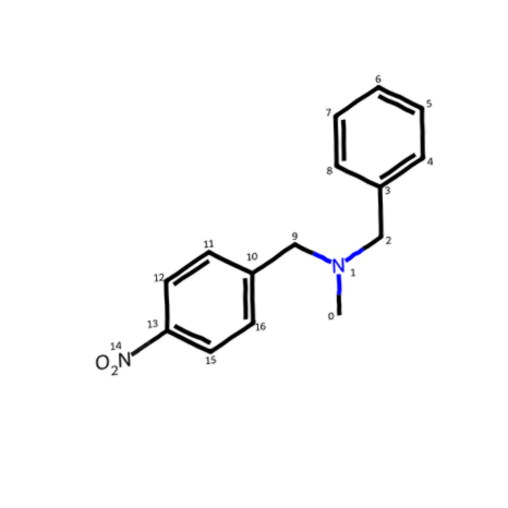 CN(Cc1ccccc1)Cc1ccc([N+](=O)[O-])cc1